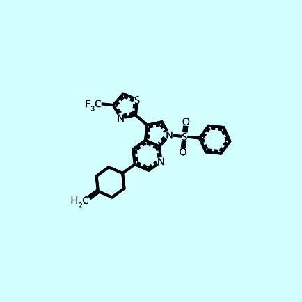 C=C1CCC(c2cnc3c(c2)c(-c2nc(C(F)(F)F)cs2)cn3S(=O)(=O)c2ccccc2)CC1